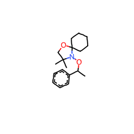 CC(ON1C(C)(C)COC12CCCCC2)c1ccccc1